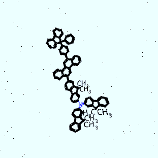 CC1(C)c2ccccc2-c2ccc(N(c3ccc4c(c3)C(C)(C)c3ccccc3-4)c3ccc4c(c3)C(C)(C)c3cc(-c5cc6c7ccccc7c(-c7ccc(C8(c9ccccc9)c9ccccc9-c9ccccc98)cc7)cc6c6ccccc56)ccc3-4)cc21